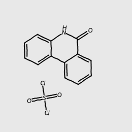 O=S(=O)(Cl)Cl.O=c1[nH]c2ccccc2c2ccccc12